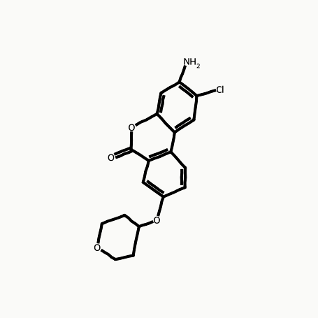 Nc1cc2oc(=O)c3cc(OC4CCOCC4)ccc3c2cc1Cl